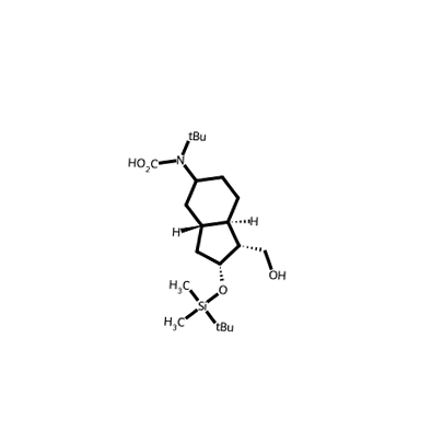 CC(C)(C)N(C(=O)O)C1CC[C@@H]2[C@@H](C1)C[C@@H](O[Si](C)(C)C(C)(C)C)[C@H]2CO